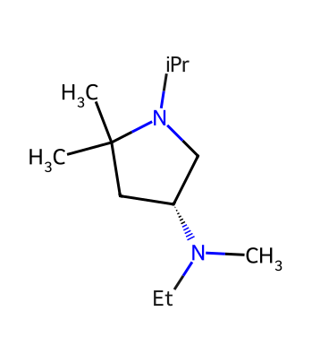 CCN(C)[C@H]1CN(C(C)C)C(C)(C)C1